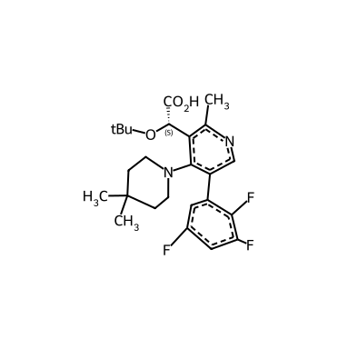 Cc1ncc(-c2cc(F)cc(F)c2F)c(N2CCC(C)(C)CC2)c1[C@H](OC(C)(C)C)C(=O)O